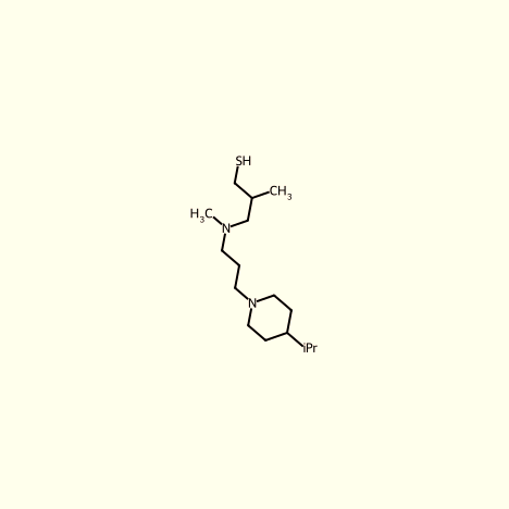 CC(CS)CN(C)CCCN1CCC(C(C)C)CC1